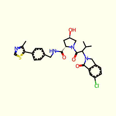 Cc1ncsc1-c1ccc(CNC(=O)[C@@H]2C[C@@H](O)CN2C(=O)C(C(C)C)N2Cc3ccc(Cl)cc3C2=O)cc1